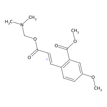 COC(=O)c1cc(OC)ccc1/C=C/C(=O)OCN(C)C